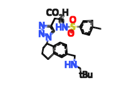 Cc1ccc(S(=O)(=O)N[C@H](Cc2cn(C3CCCc4cc(CNCC(C)(C)C)ccc43)nn2)C(=O)O)cc1